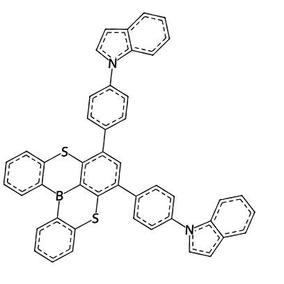 c1ccc2c(c1)Sc1c(-c3ccc(-n4ccc5ccccc54)cc3)cc(-c3ccc(-n4ccc5ccccc54)cc3)c3c1B2c1ccccc1S3